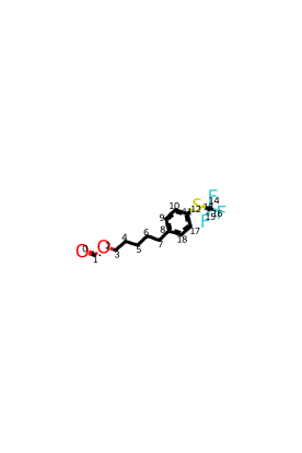 O=[C]OCCCCCc1ccc(SC(F)(F)F)cc1